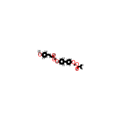 C=C(C)C(=O)OCOc1ccc(-c2ccc(OCOC(=O)C=Cc3ccc(OC)cc3)cc2)cc1